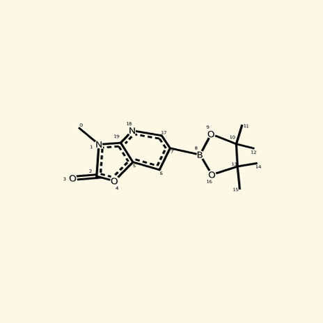 Cn1c(=O)oc2cc(B3OC(C)(C)C(C)(C)O3)cnc21